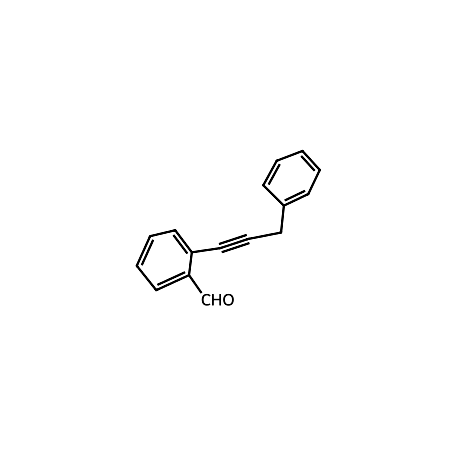 O=Cc1ccccc1C#CCc1ccccc1